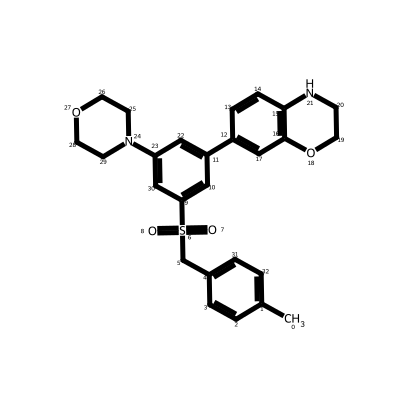 Cc1ccc(CS(=O)(=O)c2cc(-c3ccc4c(c3)OCCN4)cc(N3CCOCC3)c2)cc1